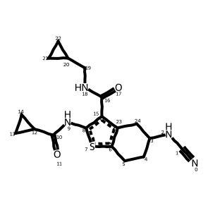 N#CNC1CCc2sc(NC(=O)C3CC3)c(C(=O)NCC3CC3)c2C1